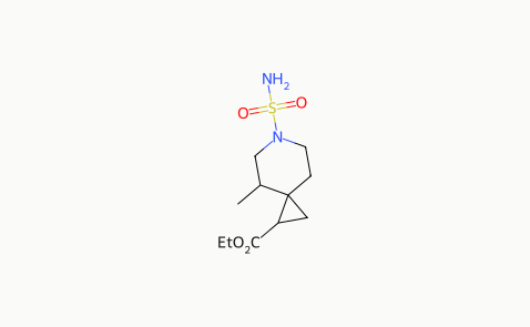 CCOC(=O)C1CC12CCN(S(N)(=O)=O)CC2C